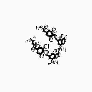 CNc1cc(COc2c(Cl)cc(C(=O)NCC(=O)O)cc2Cl)cc(C(F)(F)F)c1.CNc1cc(COc2c(Cl)cc(CC(=O)O)cc2Cl)cc(C(F)(F)F)c1